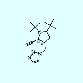 C#C[C@@H]1[C@@H](Cn2ccnn2)CC(C(C)(C)C)N1C(C)(C)C